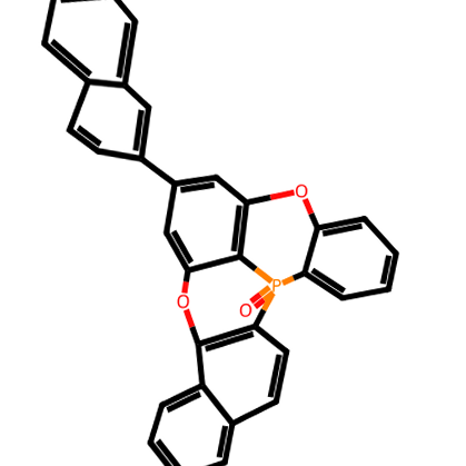 O=P12c3ccccc3Oc3cc(-c4ccc5ccccc5c4)cc(c31)Oc1c2ccc2ccccc12